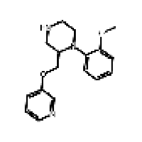 COc1ccccc1N1CCNCC1COc1cccnc1